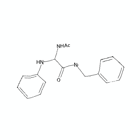 CC(=O)NC(Nc1ccccc1)C(=O)[N]Cc1ccccc1